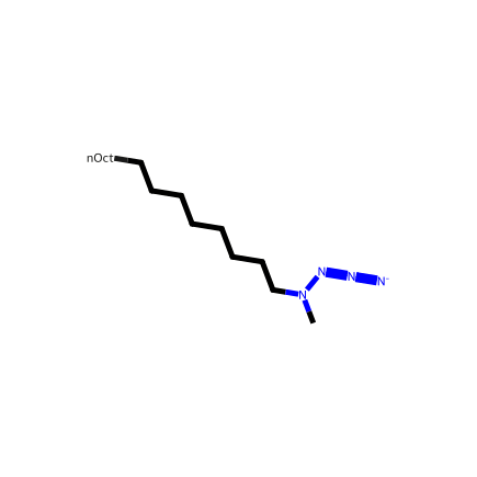 CCCCCCCCCCCCCCCCN(C)N=[N+]=[N-]